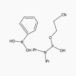 CC(C)N(C(C)C)P(O)OCCC#N.OB(O)c1ccccc1